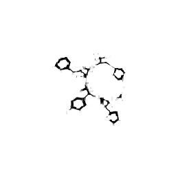 O=C1COc2ccc(cc2)C[C@@H](C(=O)O)NC(=O)[C@@H](CCc2ccccc2)NC(=O)C(c2ccc(Br)cc2)NC(=O)[C@@H](Cc2cccs2)N1